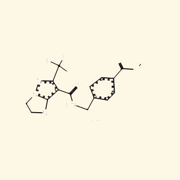 COC(=O)c1ccc([C@H](C)NC(=O)c2c(C(F)(F)F)nn3c2NCC3)cc1